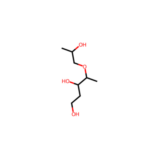 CC(O)COC(C)C(O)CCO